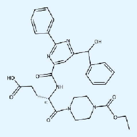 CCOC(=O)N1CCN(C(=O)[C@H](CCC(=O)O)NC(=O)c2cc(C(O)c3ccccc3)nc(-c3ccccc3)n2)CC1